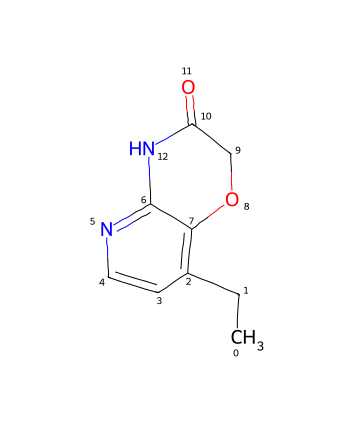 CCc1ccnc2c1OCC(=O)N2